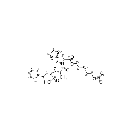 CC(NC(CCc1ccccc1)C(=O)O)C(=O)N1CC2(CC1C(=O)OCCSCCO[N+](=O)[O-])SCCS2